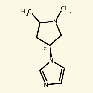 CC1C[C@H](n2ccnc2)CN1C